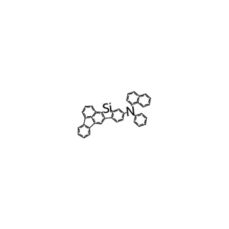 C[Si]1(C)c2cc(N(c3ccccc3)c3cccc4ccccc34)ccc2-c2cc3c4c(cccc4c21)-c1ccccc1-3